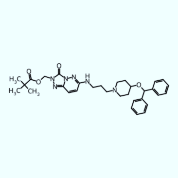 CC(C)(C)C(=O)OCn1nc2ccc(NCCCN3CCC(OC(c4ccccc4)c4ccccc4)CC3)nn2c1=O